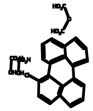 Clc1ccc2cccc3c4cccc5cccc(c1c23)c54.O=C(O)O.O=C(O)O.O=C(O)OC(=O)O